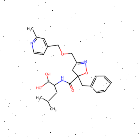 Cc1cc(COCC2=NOC(Cc3ccccc3)(C(=O)NC(CC(C)C)B(O)O)C2)ccn1